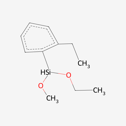 CCO[SiH](OC)c1ccccc1CC